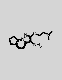 CN(C)CCOc1nn2c3c(ccc2c1N)CCC3